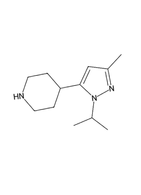 Cc1cc(C2CCNCC2)n(C(C)C)n1